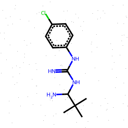 CC(C)(C)C(N)NC(=N)Nc1ccc(Cl)cc1